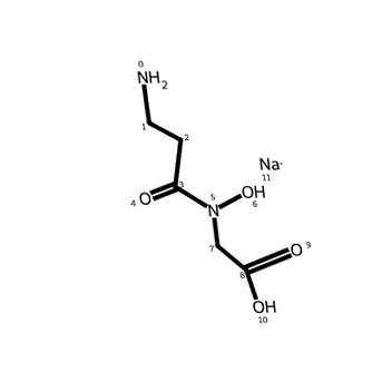 NCCC(=O)N(O)CC(=O)O.[Na]